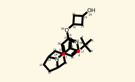 CC(C)(C)OC(=O)N1CC2CCC(C1)N2c1ccnc(OC2CC(O)C2)c1